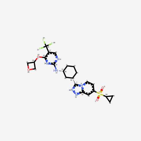 O=S(=O)(c1ccn2c([C@H]3CCC[C@@H](Nc4ncc(C(F)(F)F)c(OC5COC5)n4)C3)nnc2c1)C1CC1